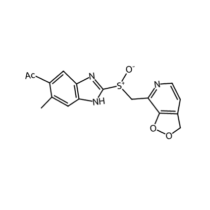 CC(=O)c1cc2nc([S+]([O-])Cc3nccc4c3OOC4)[nH]c2cc1C